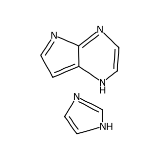 c1c[nH]c2ccnc-2n1.c1c[nH]cn1